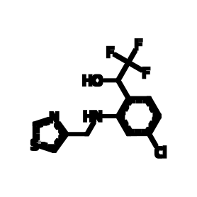 OC(c1ccc(Cl)cc1NCc1cscn1)C(F)(F)F